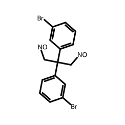 O=NCC(CN=O)(c1cccc(Br)c1)c1cccc(Br)c1